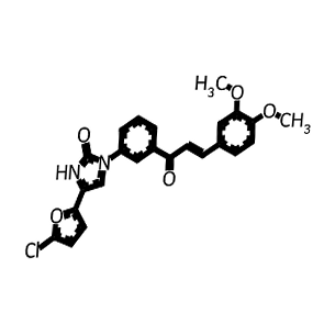 COc1ccc(/C=C/C(=O)c2cccc(-n3cc(-c4ccc(Cl)o4)[nH]c3=O)c2)cc1OC